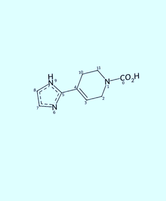 O=C(O)N1CC=C(c2ncc[nH]2)CC1